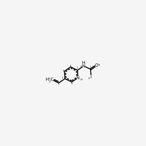 C=Cc1ccc(NC(=O)I)nc1